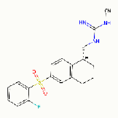 N#CNC(=N)NC[C@@H]1CCCc2cc(S(=O)(=O)c3ccccc3F)ccc21